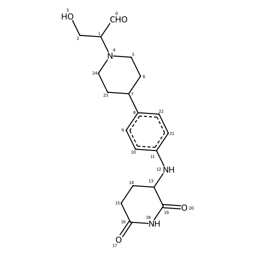 O=CC(CO)N1CCC(c2ccc(NC3CCC(=O)NC3=O)cc2)CC1